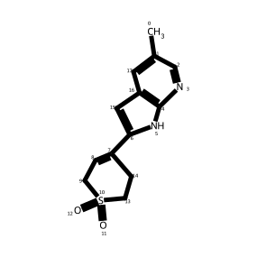 Cc1cnc2[nH]c(C3=CCS(=O)(=O)CC3)cc2c1